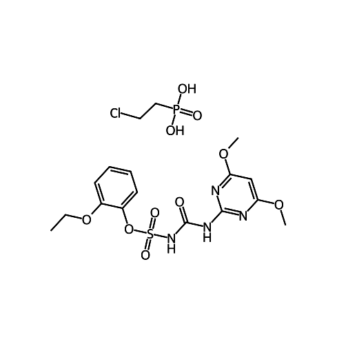 CCOc1ccccc1OS(=O)(=O)NC(=O)Nc1nc(OC)cc(OC)n1.O=P(O)(O)CCCl